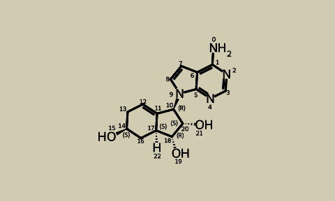 Nc1ncnc2c1ccn2[C@@H]1C2=CC[C@H](O)C[C@@H]2[C@@H](O)[C@H]1O